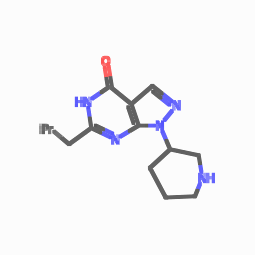 CC(C)Cc1nc2c(cnn2C2CCCNC2)c(=O)[nH]1